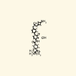 CN(Cc1ccc(-n2ccc(NC(=O)N3CCN(C(=O)C(C)(C)N)CC3)nc2=O)cc1)CC1CC(N)C1.Cl